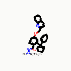 CC(C)(C)N(NC(=O)c1ccc(OCc2ccc3ccccc3n2)cc1C1(c2ccccc2)CC2CCC1C2)C(=O)O